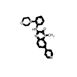 Cn1c(=O)c(Nc2ccccc2N2CCOCC2)nc2ccc(-c3ccncc3)cc21